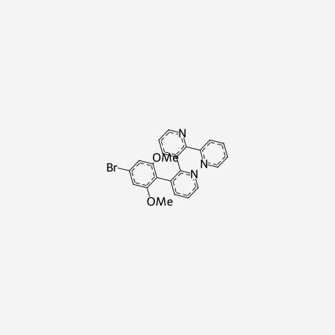 COc1cc(Br)cc(OC)c1-c1cccnc1-c1cccnc1-c1ccccn1